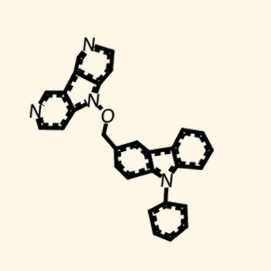 c1ccc(-n2c3ccccc3c3cc(COn4c5ccncc5c5cnccc54)ccc32)cc1